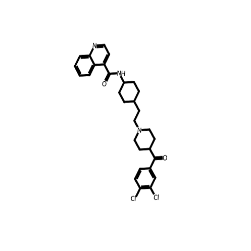 O=C(NC1CCC(CCN2CCC(C(=O)c3ccc(Cl)c(Cl)c3)CC2)CC1)c1ccnc2ccccc12